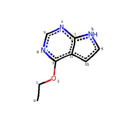 CCOc1ncnc2[nH]ccc12